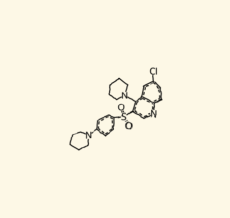 O=S(=O)(c1ccc(N2CCCCC2)cc1)c1cnc2ccc(Cl)cc2c1N1CCCCC1